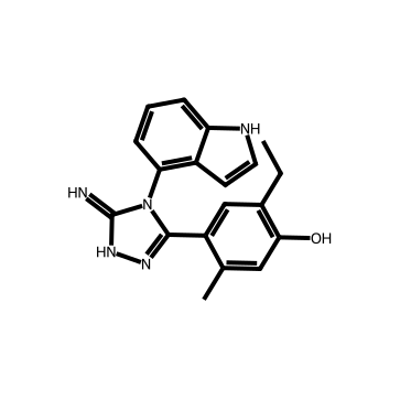 CCc1cc(-c2n[nH]c(=N)n2-c2cccc3[nH]ccc23)c(C)cc1O